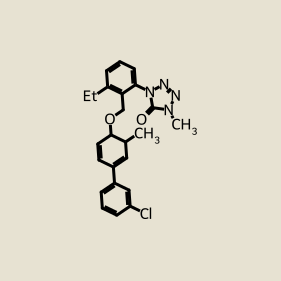 CCc1cccc(-n2nnn(C)c2=O)c1COC1C=CC(c2cccc(Cl)c2)=CC1C